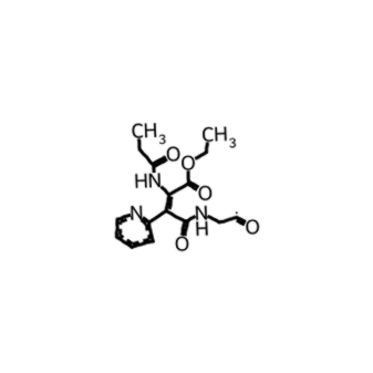 CCOC(=O)/C(NC(=O)CC)=C(\C(=O)NC[C]=O)c1ccccn1